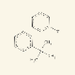 C[Si](C)(C)c1ccccc1.Clc1ccccc1